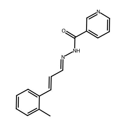 Cc1ccccc1/C=C/C=N/NC(=O)c1cccnc1